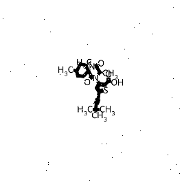 CC1CCC2(CC1)C(=O)N(c1cc(C#CC(C)(C)C)sc1C(=O)O)[C@H](C)C(=O)N2C